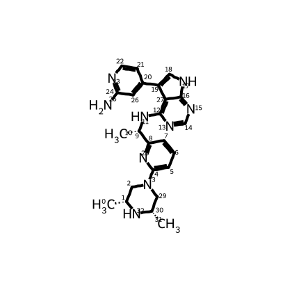 C[C@@H]1CN(c2cccc([C@H](C)Nc3ncnc4[nH]cc(-c5ccnc(N)c5)c34)n2)C[C@H](C)N1